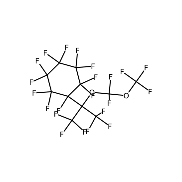 FC(F)(F)OC(F)(F)OC(C(F)(F)F)(C(F)(F)F)C1(F)C(F)(F)C(F)(F)C(F)(F)C(F)(F)C1(F)F